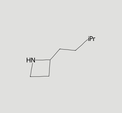 CC(C)CCC1CCN1